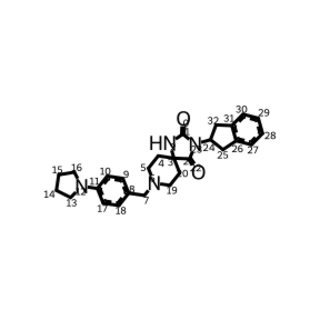 O=C1NC2(CCN(Cc3ccc(N4CCCC4)cc3)CC2)C(=O)N1C1Cc2ccccc2C1